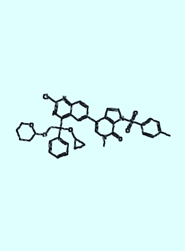 Cc1ccc(S(=O)(=O)n2ccc3c(-c4ccc5nc(Cl)nc(C(COC6CCCCO6)(OC6CC6)c6ccccc6)c5c4)cn(C)c(=O)c32)cc1